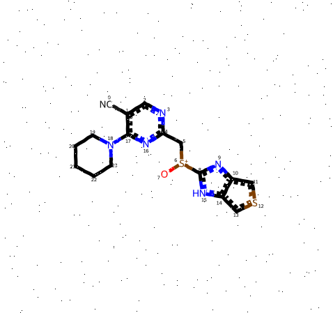 N#Cc1cnc(C[S+]([O-])c2nc3cscc3[nH]2)nc1N1CCCCC1